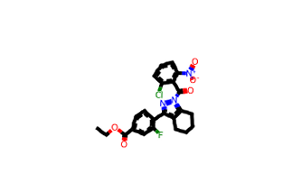 CCOC(=O)c1ccc(-c2nn(C(=O)c3c(Cl)cccc3[N+](=O)[O-])c3c2CCCC3)c(F)c1